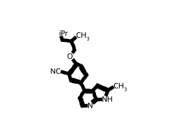 Cc1cc2c(-c3ccc(OCC(C)CC(C)C)c(C#N)c3)ccnc2[nH]1